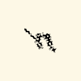 C=CCCCOCCCn1c(=O)c(N2CCS(=O)(=O)CC2)cc2c(N[C@H](C)c3cccc(C(F)(F)C4CCN(C(=O)OC(C)(C)C)CC4)c3F)ncnc21